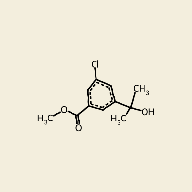 COC(=O)c1cc(Cl)cc(C(C)(C)O)c1